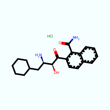 Cl.NC(=O)c1c(C(=O)[C@@H](O)[C@H](N)CC2CCCCC2)ccc2ccccc12